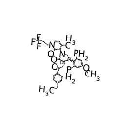 CCc1ccc(C(=O)C[C@@H]2C(=O)N(c3c(C)ccn(CCC(F)(F)F)c3=O)C[C@H]2c2c(P)cc(OC)cc2P)cc1